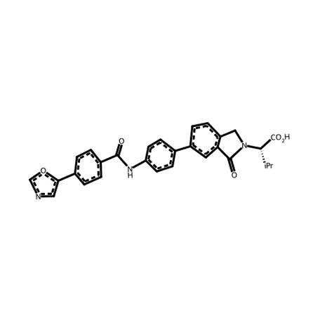 CC(C)[C@@H](C(=O)O)N1Cc2ccc(-c3ccc(NC(=O)c4ccc(-c5cnco5)cc4)cc3)cc2C1=O